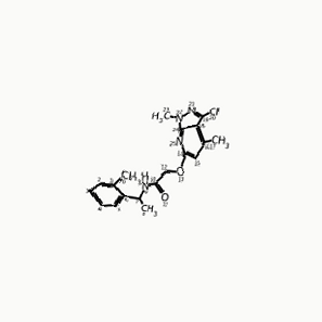 Cc1ccccc1C(C)NC(=O)COc1cc(C)c2c(Cl)nn(C)c2n1